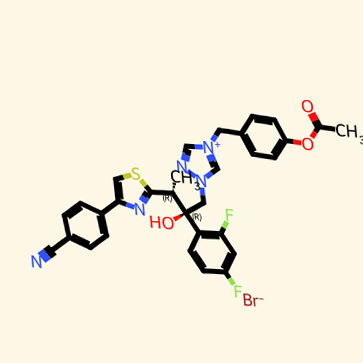 CC(=O)Oc1ccc(C[n+]2cnn(C[C@](O)(c3ccc(F)cc3F)[C@@H](C)c3nc(-c4ccc(C#N)cc4)cs3)c2)cc1.[Br-]